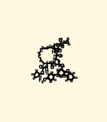 O=C(NC1CCCCC/C=C/C2CC2(C(=O)NS(=O)(=O)C2CC2)NC(=O)C2CC(Oc3nc(-c4ccc(C(F)(F)F)cc4)nc4c3oc3ccccc34)CN2C1=O)OC1CCCC1